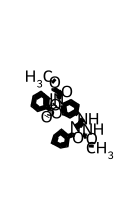 COCC(=O)Nc1ccc(NC(=NCc2ccccc2)NC(=O)OC)cc1OS(=O)(=O)c1ccccc1